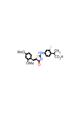 COc1ccc(/C=C2\SC(Nc3ccc(C(C)C(=O)O)c(F)c3)=NC2=O)c(OC)c1